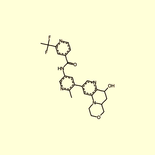 Cc1ncc(NC(=O)c2ccnc(C(C)(F)F)c2)cc1-c1cnc2c(c1)N1CCOCC1CC2O